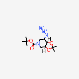 CC(C)(C)OC(=O)N1CC(N=[N+]=[N-])[C@H]2OC(C)(C)O[C@H]2C1